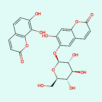 O=c1ccc2cc(O[C@@H]3O[C@H](CO)[C@@H](O)[C@H](O)[C@H]3O)c(O)cc2o1.O=c1ccc2ccc(O)c(O)c2o1